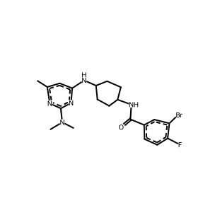 Cc1cc(NC2CCC(NC(=O)c3ccc(F)c(Br)c3)CC2)nc(N(C)C)n1